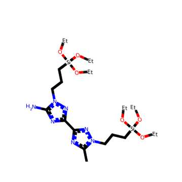 CCO[Si](CCCn1nc(-c2nc(N)n(CCC[Si](OCC)(OCC)OCC)n2)nc1C)(OCC)OCC